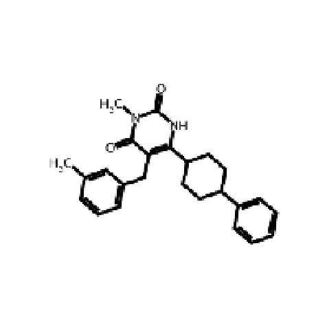 Cc1cccc(Cc2c(C3CCC(c4ccccc4)CC3)[nH]c(=O)n(C)c2=O)c1